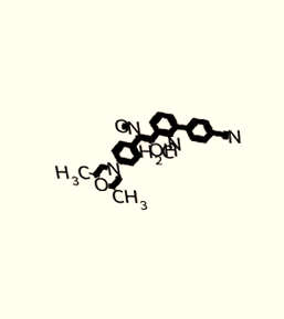 C=Nc1c(/C(O)=C(\N=O)c2ccc(N3C[C@@H](C)O[C@@H](C)C3)cc2)cccc1-c1ccc(C#N)cc1